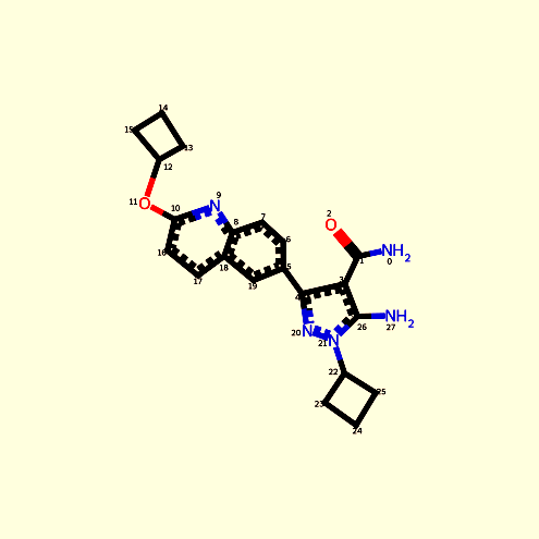 NC(=O)c1c(-c2ccc3nc(OC4CCC4)ccc3c2)nn(C2CCC2)c1N